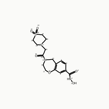 O=C(NO)c1ccc2c(c1)OCCN(C(=O)CN1CCS(=O)(=O)CC1)C2